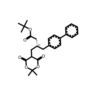 CC(C)(C)OC(=O)C[C@H](Cc1ccc(-c2ccccc2)cc1)CC1C(=O)OC(C)(C)OC1=O